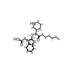 CCCCCCC(=O)C(Sc1nc2ccccc2n1CC(=O)O)C1CCCNC1